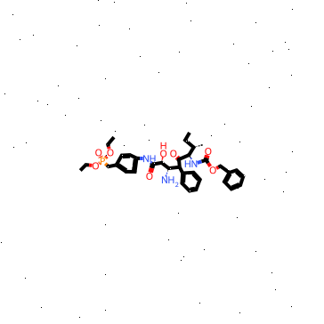 CCOP(=O)(Cc1ccc(NC(=O)[C@H](O)[C@@H](N)C(C(=O)[C@@H](NC(=O)OCc2ccccc2)[C@@H](C)CC)c2ccccc2)cc1)OCC